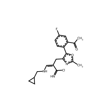 CC(=O)c1cc(F)ccc1-c1oc(C)nc1C/C(=C/NCC1CC1)C(=N)Cl